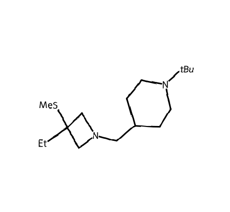 CCC1(SC)CN(CC2CCN(C(C)(C)C)CC2)C1